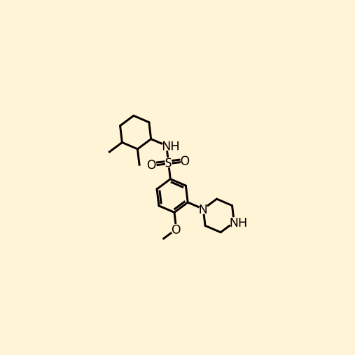 COc1ccc(S(=O)(=O)NC2CCCC(C)C2C)cc1N1CCNCC1